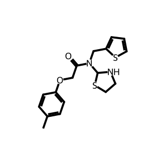 Cc1ccc(OCC(=O)N(Cc2cccs2)C2NCCS2)cc1